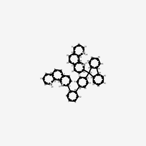 c1ccc(-c2ccc3ccc4cccnc4c3n2)c(-c2ccc(C3(c4ccc5ccc6cccnc6c5n4)c4ccccc4-c4ccccc43)cc2)c1